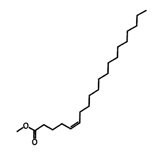 CCCCCCCCCCCCCC/C=C\CCCC(=O)OC